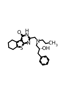 CCCN(Cc1nc2sc3c(c2c(=O)[nH]1)CCCC3)C[C@H](O)Cc1ccccc1